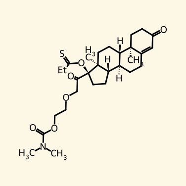 CCC(=S)O[C@]1(C(=O)COCCOC(=O)N(C)C)CC[C@H]2[C@@H]3CCC4=CC(=O)CC[C@]4(C)[C@H]3CC[C@@]21C